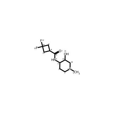 CN1CCC(NC(=O)C2CC(F)(F)C2)C(O)C1